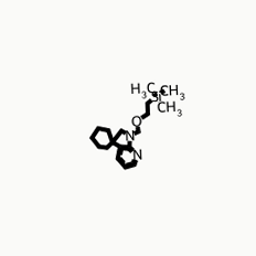 C[Si](C)(C)CCOCN1CC2(CCCCC2)c2cccnc21